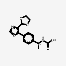 C[C@H](NC(=O)O)c1ccc(-c2scnc2C2OCCO2)cc1